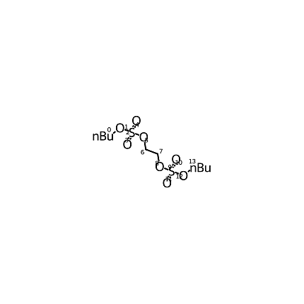 CCCCOS(=O)(=O)OCCOS(=O)(=O)OCCCC